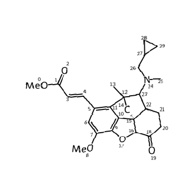 COC(=O)/C=C/c1cc(OC)c2c3c1C1(C)C[C@]34C(O2)C(=O)CCC4C1N(C)CC1CC1